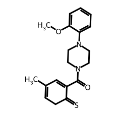 COc1ccccc1N1CCN(C(=O)C2=CC(C)=CCC2=S)CC1